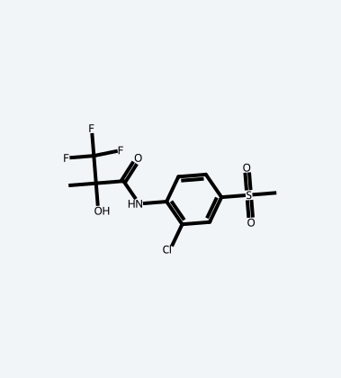 CC(O)(C(=O)Nc1ccc(S(C)(=O)=O)cc1Cl)C(F)(F)F